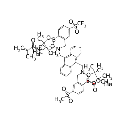 C=C(C)C(=O)NCCCN(Cc1cc(S(=O)(=O)C(F)(F)F)ccc1B1OC(C)(C)C(C)(C)O1)Cc1c2ccccc2c(CN(CCC(=O)OC(C)(C)C)Cc2cc(S(C)(=O)=O)ccc2B2OC(C)(C)C(C)(C)O2)c2ccccc12